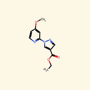 CCOC(=O)c1cnn(-c2cc(OC)ccn2)c1